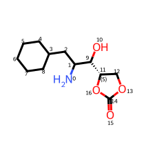 NC(CC1CCCCC1)C(O)[C@@H]1COC(=O)O1